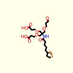 O=CCCOCC(COCCC(=O)O)(COCCC(=O)O)NC(=O)CCCCC1CCSS1